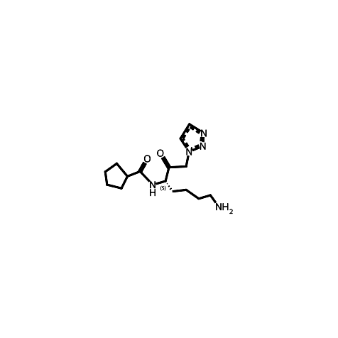 NCCCC[C@H](NC(=O)C1CCCC1)C(=O)Cn1ccnn1